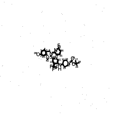 COc1ccc(CN(Sc2cc(C(F)(F)F)c(NC3CCN(C(=O)OC(C)(C)C)CC3)cn2)c2cccc(F)n2)c(OC)c1